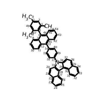 Cc1cc(C)c(-c2c3ccccc3c(-c3ccc(-n4c5ccc6ccccc6c5c5c6ccccc6ccc54)cc3)c3ccccc23)c(C)c1